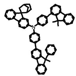 CC1(C)c2ccccc2-c2cccc(-c3ccc(N(c4ccc(-c5ccc6c(c5)C(C)(c5ccccc5)c5ccccc5-6)cc4)c4ccc5c(c4)C4(CC6CCC4C6)c4ccccc4-5)cc3)c21